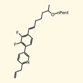 C=CCc1ccc(-c2ccc(C=CCCCC(C)OCCCCC)c(F)c2F)cn1